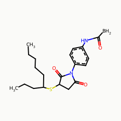 BC(=O)Nc1ccc(N2C(=O)CC(SC(CCC)CCCCC)C2=O)cc1